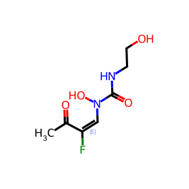 CC(=O)/C(F)=C\N(O)C(=O)NCCO